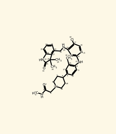 CNC(=O)CN1CCC(c2ccc(Nc3ncc(Cl)c(NCc4cccc5c4C(C)(C)C(=O)N5)n3)c(C)c2)CC1